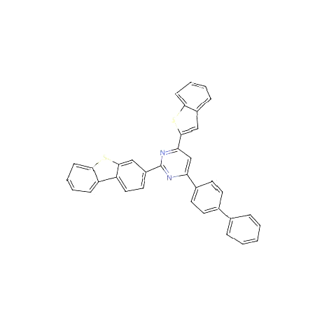 c1ccc(-c2ccc(-c3cc(-c4cc5ccccc5s4)nc(-c4ccc5c(c4)sc4ccccc45)n3)cc2)cc1